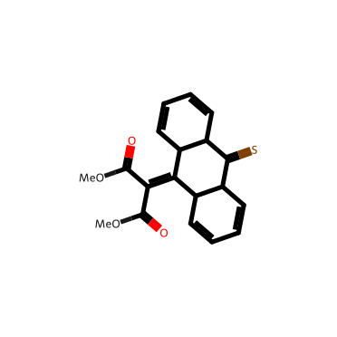 COC(=O)C(C(=O)OC)=C1C2C=CC=CC2C(=S)C2C=CC=CC12